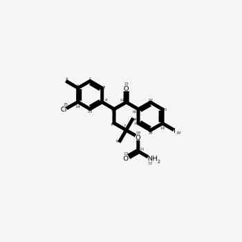 Cc1ccc(C(CC(C)(C)OC(N)=O)C(=O)c2ccc(I)cc2)cc1Cl